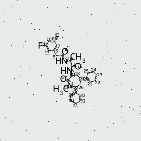 C[C@H](NC(=O)Cc1cc(F)cc(F)c1)C(=O)N[C@H]1C[C@H](c2ccccc2)C[C@@H](c2ccccc2)N(C)C1=O